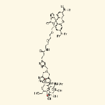 CCN(CC)c1ccc2c(c1)Oc1cc(N(CC)CC)ccc1C21c2ccccc2C(=O)N1CCOCCOCCNC(=O)CCn1cc(CN(Cc2cn([C@H]3OC(CO)[C@@H](O)[C@H](O)C3NC(C)=O)nn2)Cc2cn([C@H]3OC(CO)[C@H](O)[C@@H](O)C3NC(C)=O)nn2)nn1